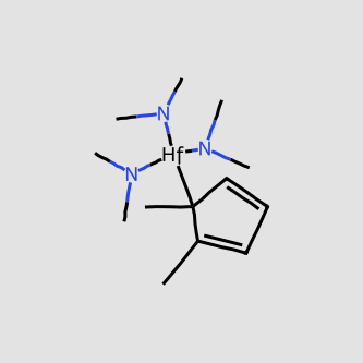 CC1=CC=C[C]1(C)[Hf]([N](C)C)([N](C)C)[N](C)C